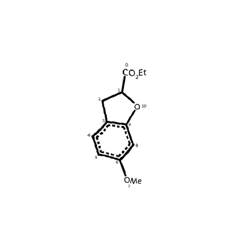 CCOC(=O)C1Cc2ccc(OC)cc2O1